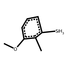 COc1cccc([SiH3])c1C